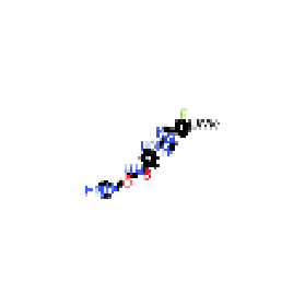 COc1ccc(-c2cnc3c(Nc4ccc(C(=O)NCCOCCN5CCNCC5)c(C)c4)nccn23)cc1F